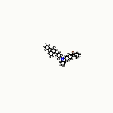 c1ccc2c(c1)-c1cccc3c(-c4ccc(-n5c6ccccc6c6cc7cc8c(cc7cc65)sc5ccccc58)cc4)ccc-2c13